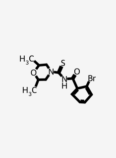 CC1CN(C(=S)NC(=O)c2ccccc2Br)CC(C)O1